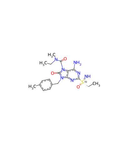 CCN(C)C(=O)n1c(=O)n(Cc2ccc(C)cc2)c2nc([S@@](=N)(=O)CC)nc(N)c21